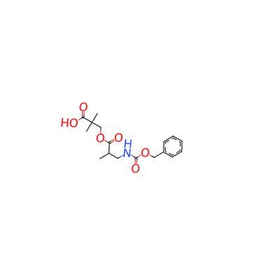 CC(CNC(=O)OCc1ccccc1)C(=O)OCC(C)(C)C(=O)O